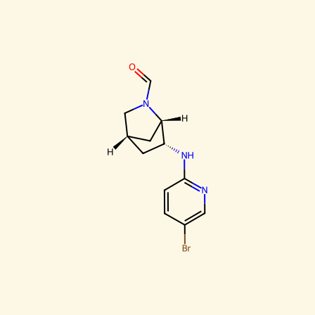 O=CN1C[C@H]2C[C@@H](Nc3ccc(Br)cn3)[C@@H]1C2